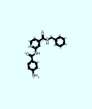 Nc1ccc(C(=O)Nc2cc(C(=O)NCc3ccccc3)ccn2)cc1